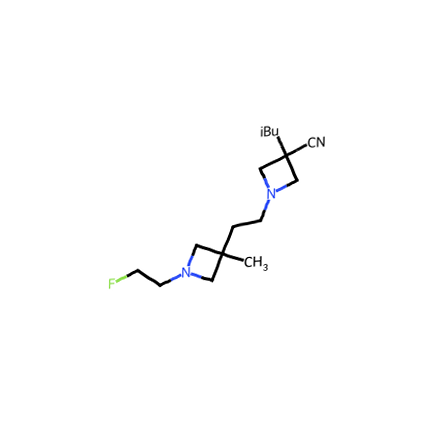 CCC(C)C1(C#N)CN(CCC2(C)CN(CCF)C2)C1